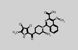 COc1c(C(=O)O)nc(N2CCC(C(=O)c3[nH]c(C)c(Cl)c3Cl)CC2N)c2ccccc12